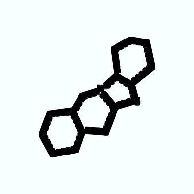 c1ccc2c[n+]3c(cc2c1)sc1ccccc13